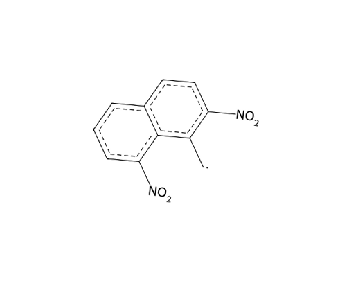 [CH2]c1c([N+](=O)[O-])ccc2cccc([N+](=O)[O-])c12